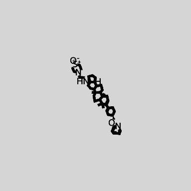 CC1(C)C(C2=CC[C@H](COc3ccccn3)CC2)=CCC2(C)C1CCC1(C)C3CCC4(NCCN5CC[S+]([O-])CC5)CCC[C@@H]4C3CCC12